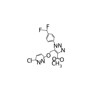 COC(=O)c1nnn(-c2ccc(C(F)F)cc2)c1COc1ccc(Cl)nn1